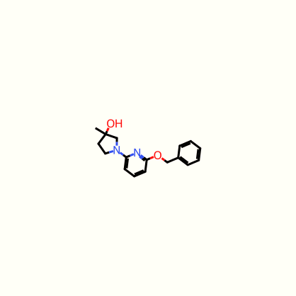 CC1(O)CCN(c2cccc(OCc3ccccc3)n2)C1